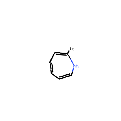 [Tc][C]1=CC=CC=CN1